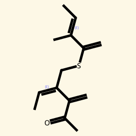 C=C(SC/C(=C/C)C(=C)C(C)=O)/C(C)=C/C